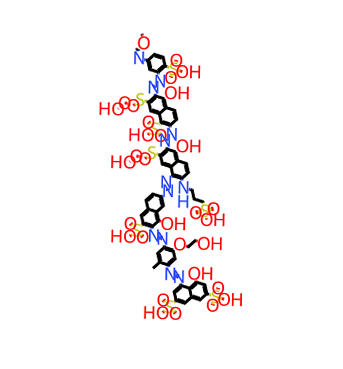 CO/C=N\c1ccc(S(=O)(=O)O)c(N=Nc2c(SOOO)cc3c(S(=O)(=O)O)c(N=Nc4c(SOOO)cc5c(N=Nc6ccc7cc(S(=O)(=O)O)c(N=Nc8cc(C)c(N=Nc9cc(S(=O)(=O)O)cc%10cc(S(=O)(=O)O)cc(O)c9%10)cc8OCCO)c(O)c7c6)c(NCCCS(=O)(=O)O)ccc5c4O)ccc3c2O)c1